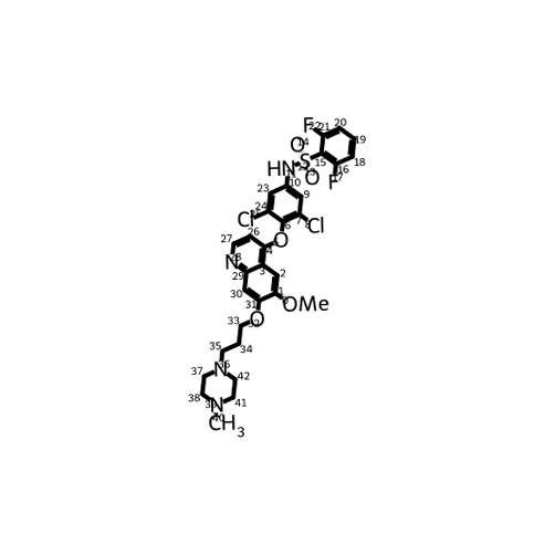 COc1cc2c(Oc3c(Cl)cc(NS(=O)(=O)c4c(F)cccc4F)cc3Cl)ccnc2cc1OCCCN1CCN(C)CC1